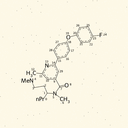 CCCC(CCNC)N(C)C(=O)c1cc(C)nc(-c2ccc(Oc3ccc(F)cc3)cc2)c1